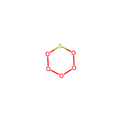 O1OOSOO1